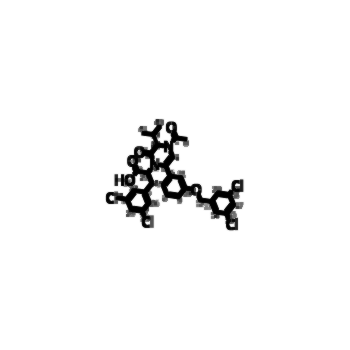 CC(=O)N1C=C(c2cccc(OCc3cc(Cl)cc(Cl)c3)c2)N(C(Cc2cc(Cl)cc(Cl)c2)C(=O)O)C(=O)[C@H]1C(C)C